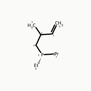 C=CC(C)C[P@@](CC)C(C)C